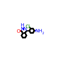 Nc1ccc(-c2n[nH]c(=O)c3ccccc23)c(Cl)c1